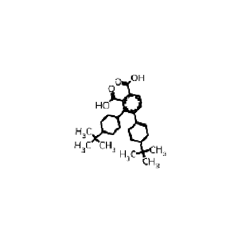 CC(C)(C)C1CCC(c2ccc(C(=O)O)c(C(=O)O)c2C2CCC(C(C)(C)C)CC2)CC1